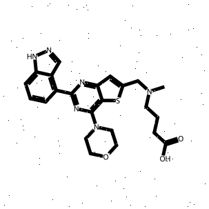 CN(CCCC(=O)O)Cc1cc2nc(-c3cccc4[nH]ncc34)nc(N3CCOCC3)c2s1